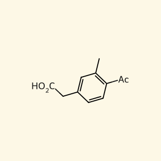 CC(=O)c1ccc(CC(=O)O)cc1C